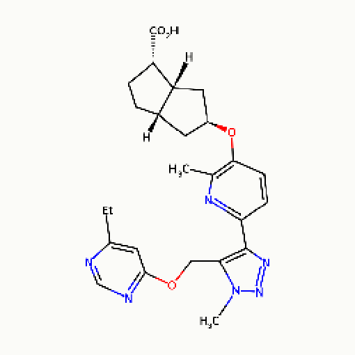 CCc1cc(OCc2c(-c3ccc(O[C@H]4C[C@@H]5CC[C@H](C(=O)O)[C@@H]5C4)c(C)n3)nnn2C)ncn1